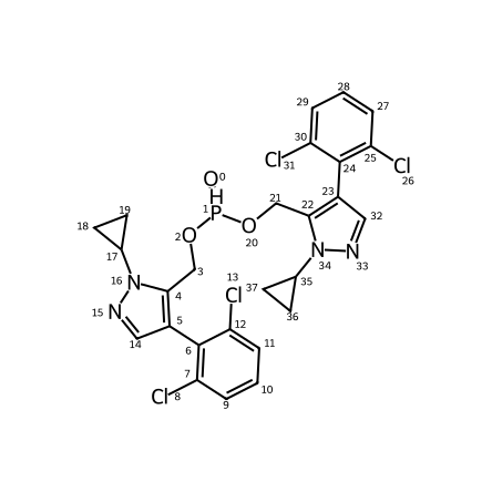 O=[PH](OCc1c(-c2c(Cl)cccc2Cl)cnn1C1CC1)OCc1c(-c2c(Cl)cccc2Cl)cnn1C1CC1